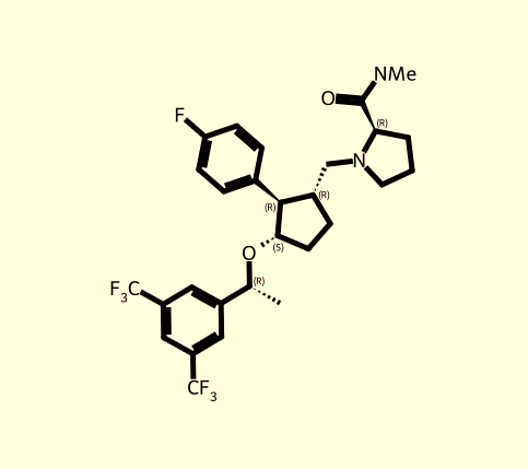 CNC(=O)[C@H]1CCCN1C[C@@H]1CC[C@H](O[C@H](C)c2cc(C(F)(F)F)cc(C(F)(F)F)c2)[C@H]1c1ccc(F)cc1